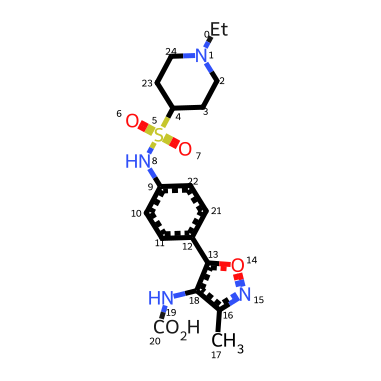 CCN1CCC(S(=O)(=O)Nc2ccc(-c3onc(C)c3NC(=O)O)cc2)CC1